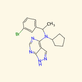 CC(c1cccc(Br)c1)N(c1ncnc2[nH]ncc12)C1CCCC1